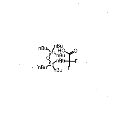 CCC[CH2][Sn]([CH2]CCC)([CH2]CCC)[O][Sn]([CH2]CCC)([CH2]CCC)[CH2]CCC.O=C(O)C(F)(F)F